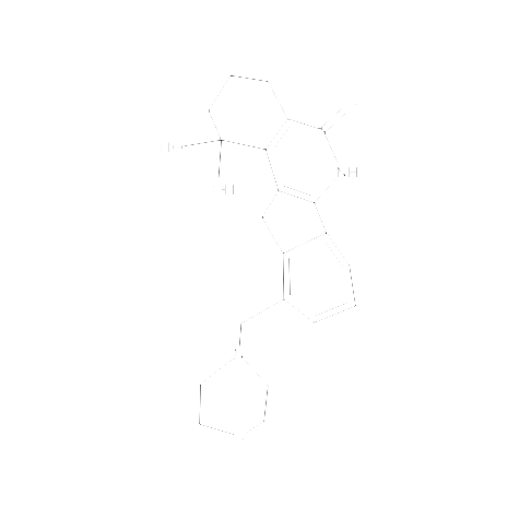 O=c1[nH]c2c(c3c1CCCC3(O)O)Cc1c(CN3CCSCC3)cccc1-2